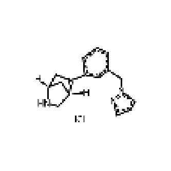 Cl.c1cc(Cn2cccn2)cc(N2C[C@@H]3C[C@H]2CN3)c1